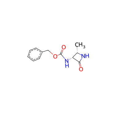 C[C@@H]1NC(=O)[C@@H]1NC(=O)OCc1ccccc1